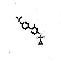 Cc1cc(NS(=O)(=O)C2CC2)ccc1-c1ccc(OC(C)C)cc1